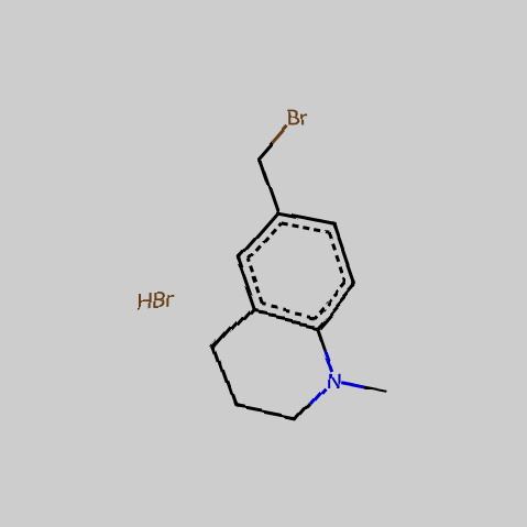 Br.CN1CCCc2cc(CBr)ccc21